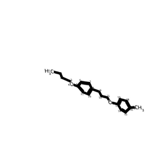 CCCCOc1ccc(CCCOc2ccc(C)cc2)cc1